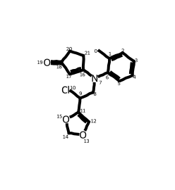 Cc1ccccc1N(CC(Cl)C1=COCO1)C1=CC(=O)CC1